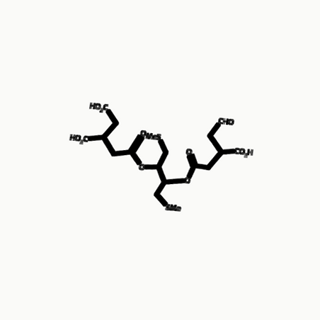 CSCC(OC(=O)CC(CC=O)C(=O)O)C(CSC)OC(=O)CC(CC(=O)O)C(=O)O